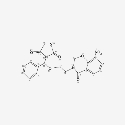 O=C1c2cccc([N+](=O)[O-])c2OCN1CCOC(c1ccccc1)N1C(=O)CSC1=O